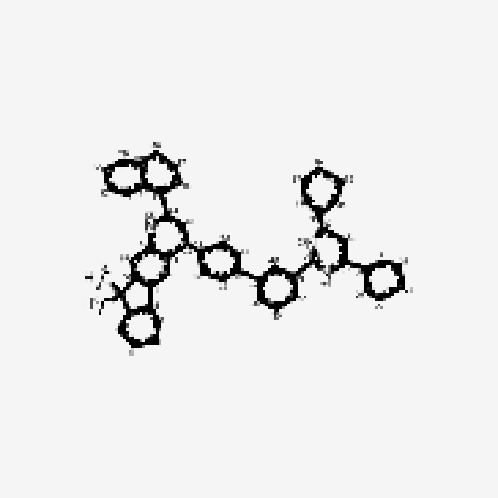 CC1(C)c2ccccc2-c2cc3c(-c4ccc(-c5cccc(-c6nc(-c7ccccc7)cc(-c7ccccc7)n6)c5)cc4)cc(-c4cccc5ccccc45)nc3cc21